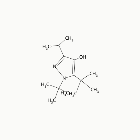 CC(C)c1nn(C(C)(C)C)c(C(C)(C)C)c1O